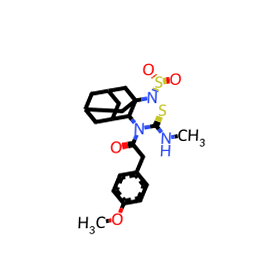 CNC(=S)N(C(=O)Cc1ccc(OC)cc1)C1C2CC3CC(C2)CC1(N=S(=O)=O)C3